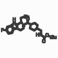 CC(C)CC1c2[nH]c3cc(F)ccc3c2CCN1C(=O)C1CCC(CNC(=O)OC(C)(C)C)CC1